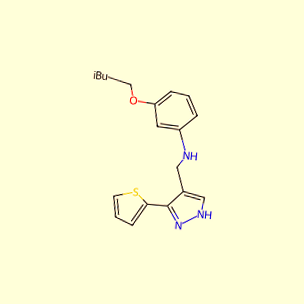 CCC(C)COc1cccc(NCc2c[nH]nc2-c2cccs2)c1